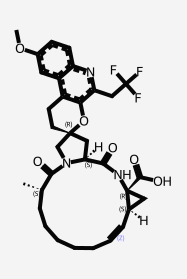 COc1ccc2nc(CC(F)(F)F)c3c(c2c1)CC[C@]1(C[C@H]2C(=O)N[C@]4(C(=O)O)C[C@H]4/C=C\CCCCC[C@H](C)C(=O)N2C1)O3